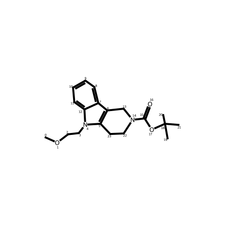 COCCn1c2c(c3ccccc31)CN(C(=O)OC(C)(C)C)CC2